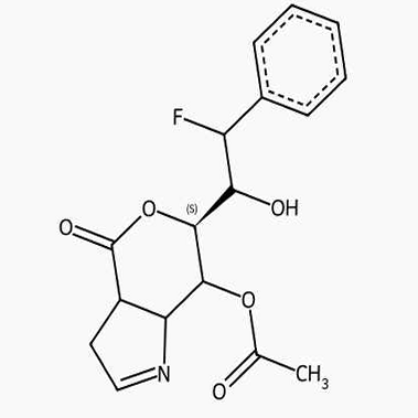 CC(=O)OC1C2N=CCC2C(=O)O[C@H]1C(O)C(F)c1ccccc1